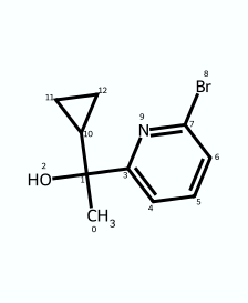 CC(O)(c1cccc(Br)n1)C1CC1